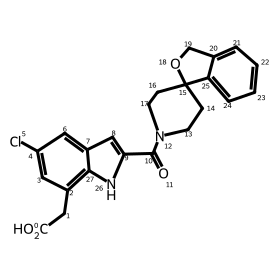 O=C(O)Cc1cc(Cl)cc2cc(C(=O)N3CCC4(CC3)OCc3ccccc34)[nH]c12